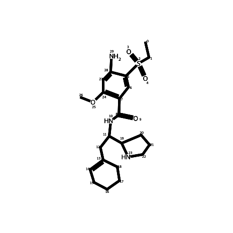 CCS(=O)(=O)c1cc(C(=O)NC(CC2=CCCCC2)C2CCCN2)c(OC)cc1N